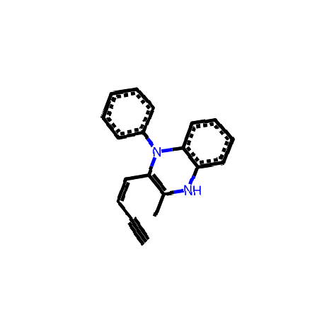 C#C/C=C\C1=C(C)Nc2ccccc2N1c1ccccc1